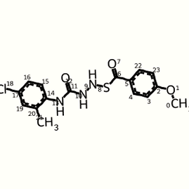 COc1ccc(C(=O)SNNC(=O)Nc2ccc(Cl)cc2C)cc1